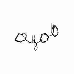 O=C(NCC1CCCO1)c1ccc(-c2ccccn2)cc1